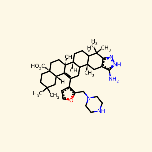 CC1(C)CC[C@]2(C(=O)O)CC[C@]3(C)C(=C(c4ccoc4CN4CCNCC4)CC4[C@@]5(C)Cc6c(n[nH]c6N)C(C)(C)[C@@H]5CC[C@]43C)[C@@H]2C1